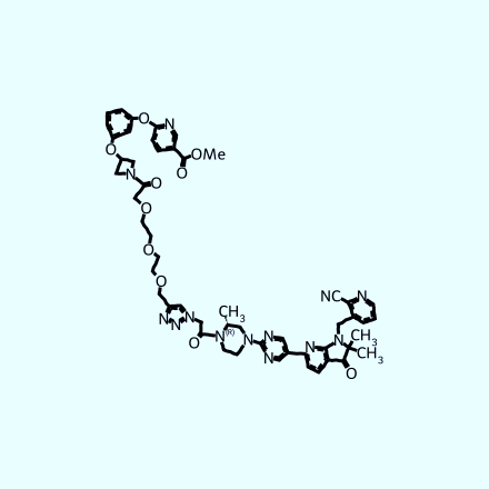 COC(=O)c1ccc(Oc2cccc(OC3CN(C(=O)COCCOCCOCc4cn(CC(=O)N5CCN(c6ncc(-c7ccc8c(n7)N(Cc7cccnc7C#N)C(C)(C)C8=O)cn6)C[C@H]5C)nn4)C3)c2)nc1